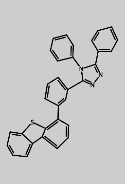 c1ccc(-c2nnc(-c3cccc(-c4cccc5c4sc4ccccc45)c3)n2-c2ccccc2)cc1